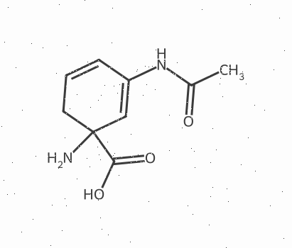 CC(=O)NC1=CC(N)(C(=O)O)CC=C1